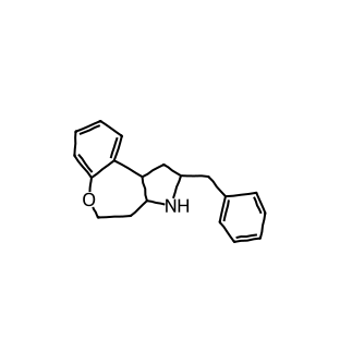 c1ccc(CC2CC3c4ccccc4OCCC3N2)cc1